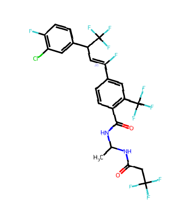 CC(NC(=O)CC(F)(F)F)NC(=O)c1ccc(/C(F)=C/C(c2ccc(F)c(Cl)c2)C(F)(F)F)cc1C(F)(F)F